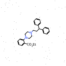 CCOC(=O)c1ccccc1N1CCN(CCC(c2ccccc2)c2ccccc2)CC1